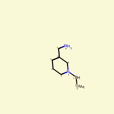 COBN1CCCC(CN)C1